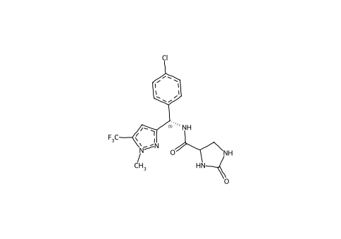 Cn1nc([C@@H](NC(=O)C2CNC(=O)N2)c2ccc(Cl)cc2)cc1C(F)(F)F